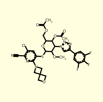 COC1C(Sc2cc(Cl)c(C#N)nc2N2CC3(COC3)C2)OC(COC(C)=O)C(OC(C)=O)C1n1cc(-c2cc(F)c(F)c(F)c2)nn1